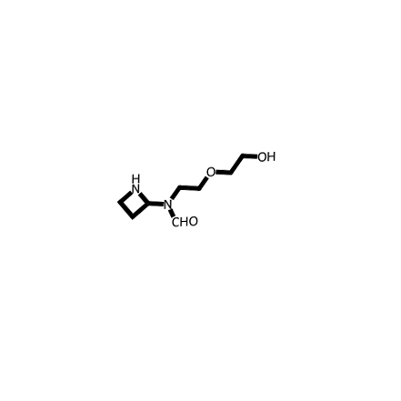 O=CN(CCOCCO)C1CCN1